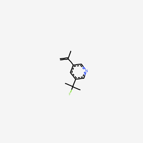 C=C(C)c1cncc(C(C)(C)F)c1